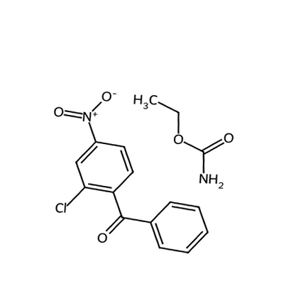 CCOC(N)=O.O=C(c1ccccc1)c1ccc([N+](=O)[O-])cc1Cl